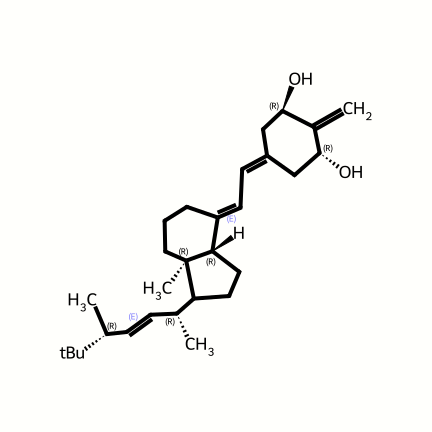 C=C1[C@H](O)CC(=C/C=C2\CCC[C@]3(C)C([C@H](C)/C=C/[C@@H](C)C(C)(C)C)CC[C@@H]23)C[C@H]1O